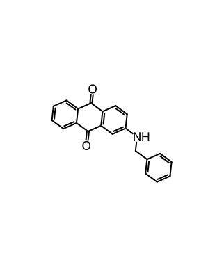 O=C1c2ccccc2C(=O)c2cc(NCc3ccccc3)ccc21